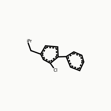 CC(C)Cc1ccc(-c2ccccc2)c(Cl)c1